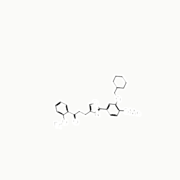 CCOc1ccccc1C(=O)CCc1coc(-c2ccc(OC)c(OCC3CCCCC3)c2)n1